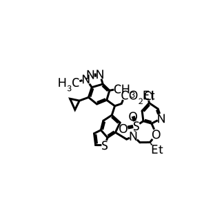 CCOC(=O)CC(c1cc(CN2C[C@@H](CC)Oc3ncc(Cl)cc3S2(=O)=O)c2sccc2c1)c1cc(C2CC2)c2c(nnn2C)c1C